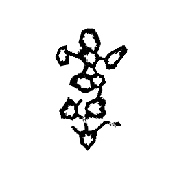 C/N=C/c1cccc(C)c1N(c1cccc(-c2ccc3c4c(cccc24)-c2c-3c(-c3ccccc3)c3ccccc3c2-c2ccccc2)c1)c1ccccc1C